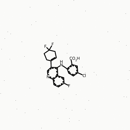 O=C(O)c1cc(Cl)ccc1Nc1c(C2=CCC(F)(F)CC2)cnc2ccc(F)cc12